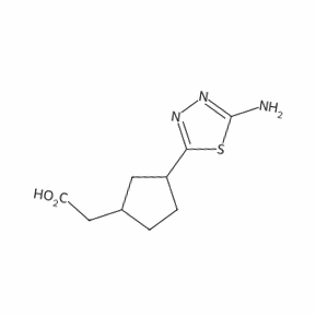 Nc1nnc(C2CCC(CC(=O)O)C2)s1